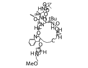 C=C[C@@H]1C[C@]1(NC(=O)[C@@H]1C[C@@H]2CN1C(=O)[C@H](C(C)(C)C)NC(=O)O[C@@H]1C[C@H]1CCCCCc1c(nc3ccccc3c1O[C@@H]1C[C@H]3C[C@@H]1CN3CCOC)O2)C(=O)NS(=O)(=O)C1(C)CC1